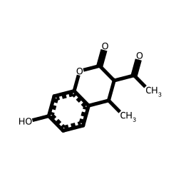 CC(=O)[C]1C(=O)Oc2cc(O)ccc2C1C